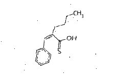 CCCCC(=Cc1ccccc1)C(O)=S